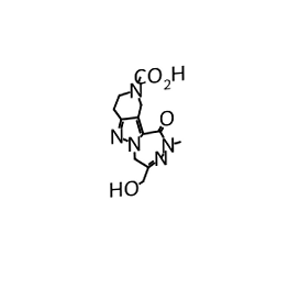 CN1N=C(CO)Cn2nc3c(c2C1=O)CN(C(=O)O)CC3